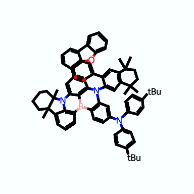 CC(C)(C)c1ccc(N(c2ccc(C(C)(C)C)cc2)c2ccc3c(c2)N(c2cc4c(cc2-c2ccccc2)C(C)(C)CCC4(C)C)c2cc(-c4cccc5c4oc4ccccc45)cc4c2B3c2cccc3c2N4C2(C)CCCCC32C)cc1